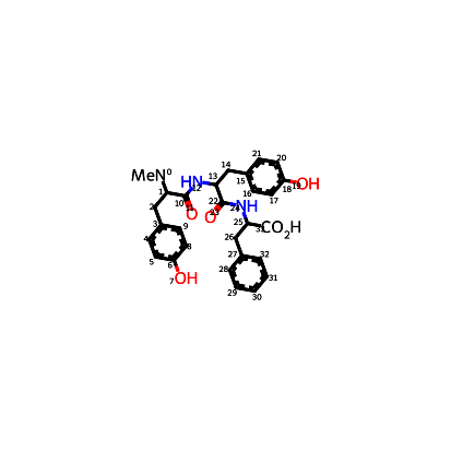 CNC(Cc1ccc(O)cc1)C(=O)NC(Cc1ccc(O)cc1)C(=O)NC(Cc1ccccc1)C(=O)O